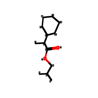 CC(C)COC(=O)C(C)C1CCCCC1